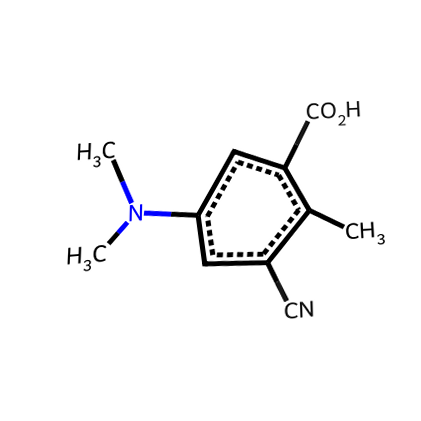 Cc1c(C#N)cc(N(C)C)cc1C(=O)O